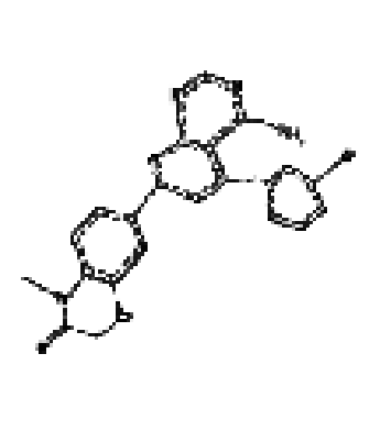 CN1C(=O)COc2cc(-c3cc(-c4cccc(Br)c4)c4c(N)ncnc4n3)ccc21